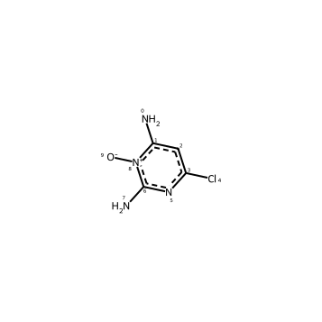 Nc1cc(Cl)nc(N)[n+]1[O-]